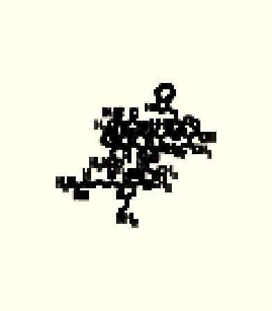 CC(C)[C@H](NC(=O)[C@H](Cc1c[nH]c2ccccc12)NC(=O)[C@@H](NC(=O)[C@H](Cc1c[nH]c2ccccc12)NC(=O)[C@@H](NC(=O)[C@H](CC(N)=O)NC(=O)[C@H](CC(N)=O)NC(=O)[C@@H](NC(=O)[C@H](CCCCN)NC(=O)[C@@H](N)CCCNC(=N)N)C(C)C)C(C)C)C(C)C)C(=O)O